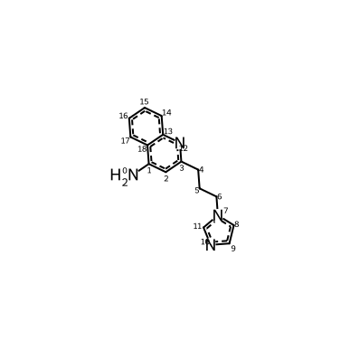 Nc1cc(CCCn2ccnc2)nc2ccccc12